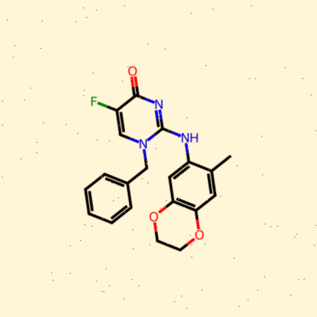 Cc1cc2c(cc1Nc1nc(=O)c(F)cn1Cc1ccccc1)OCCO2